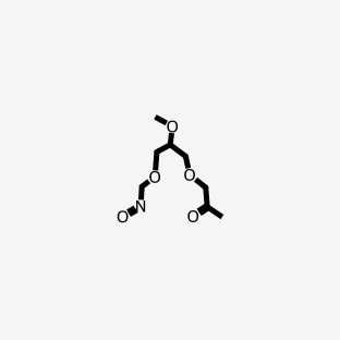 COC(COCN=O)COCC(C)=O